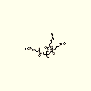 CCC(COC(=O)NCCCN=C=O)(COC(=O)NCCCN=C=O)COC(=O)NCCCN=C=O